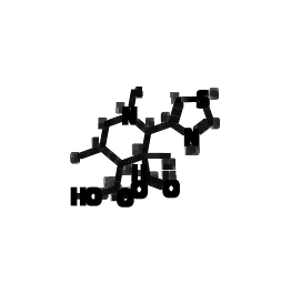 CC1CN(C)C(c2cscn2)C(C)(C(=O)O)C1C(=O)O